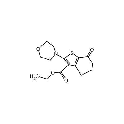 CCOC(=O)c1c(N2CCOCC2)sc2c1CCCC2=O